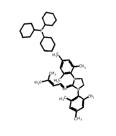 C1CCC(P(C2CCCCC2)C2CCCCC2)CC1.CC(C)=C[CH]=[Ru]=[C]1N(c2c(C)cc(C)cc2C)CCN1c1c(C)cc(C)cc1C